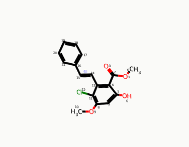 COC(=O)c1c(O)cc(OC)c(Cl)c1/C=C/c1ccccc1